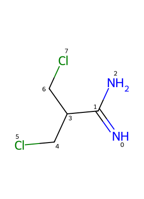 N=C(N)C(CCl)CCl